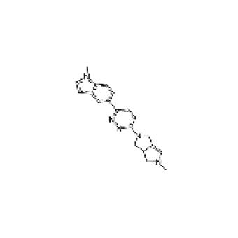 CN1C=C2CN(c3ccc(-c4ccc5c(ccn5C)c4)nn3)CC2C1